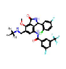 [2H]C([2H])([2H])NCc1cc(NC(=O)c2cc(F)cc(C(F)(F)F)c2)c2c(c1OC)C(=O)NC2c1cc(F)ccc1Cl